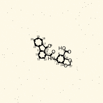 O=C(O)c1cc(NC(=O)c2cccc3c2C(=O)c2ccccc2-3)cc2c1OCO2